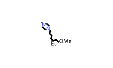 CC[C@@H](CCCCN1CCN(C)CC1)CCOC